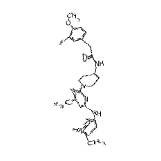 COc1ccc(CC(=O)NC2CCN(c3nc(C)cc(Nc4cc(C)[nH]n4)n3)CC2)cc1F